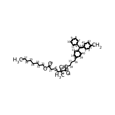 C=c1ccc(=C(c2ccccc2)c2ccc(CCCOC(=O)C(C)(C)CSCC(=O)OCCCCCCCC)cc2)cc1